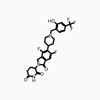 O=C1CCC(N2Cc3c(cc(F)c(C4CCN(Cc5ccc(C(F)(F)F)cc5O)CC4)c3F)C2=O)C(=O)N1